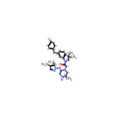 Cc1cnn(C[C@H]2CN[C@H](C)CN2CC(=O)N2CC(C)(C)c3ccc(Cc4ccc(F)cc4)cc32)c1C